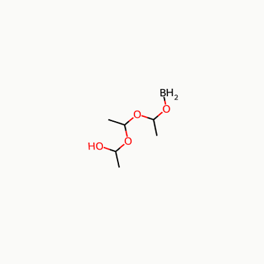 BOC(C)OC(C)OC(C)O